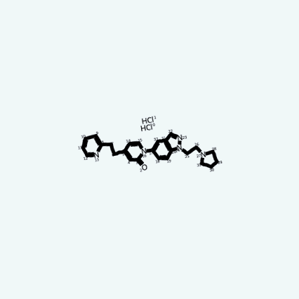 Cl.Cl.O=c1cc(CCc2ccccn2)ccn1-c1ccc2c(cnn2CCN2CCCC2)c1